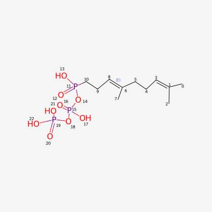 CC(C)=CCC/C(C)=C/CCP(=O)(O)OP(=O)(O)OP(=O)(O)O